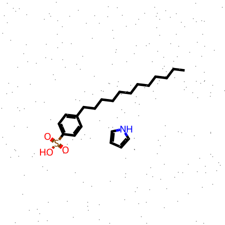 CCCCCCCCCCCCc1ccc(S(=O)(=O)O)cc1.c1cc[nH]c1